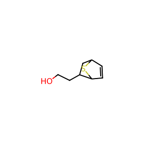 OCCC1CC2C=CC1S2